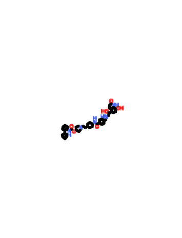 O=C(Nc1ccccc1-c1ccccc1)OC1CCN(CCC2CCC(NC(=O)c3ccc(CNC[C@H](O)c4ccc(O)c5[nH]c(=O)ccc45)cc3)CC2)CC1